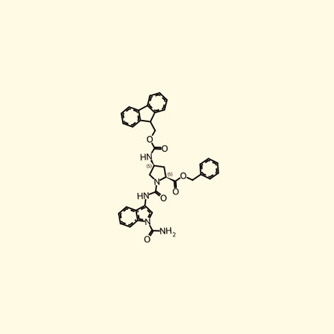 NC(=O)n1cc(NC(=O)N2C[C@@H](NC(=O)OCC3c4ccccc4-c4ccccc43)C[C@H]2C(=O)OCc2ccccc2)c2ccccc21